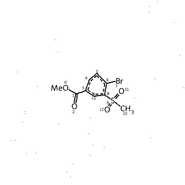 COC(=O)c1ccc(Br)c(S(C)(=O)=O)c1